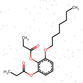 CCCCCCCOc1cccc(OC(=O)CC)c1OC(=O)CC